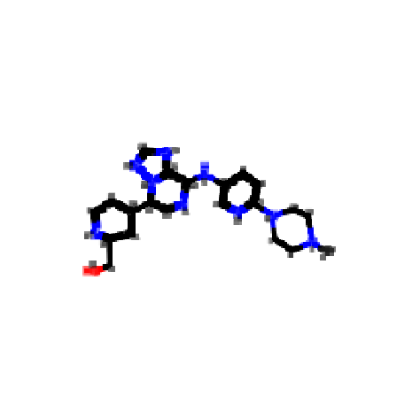 CC(C)N1CCN(c2ccc(Nc3ncc(-c4ccnc(CO)c4)n4ncnc34)cn2)CC1